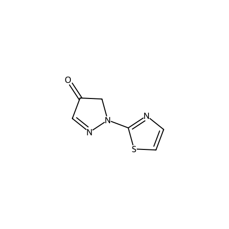 O=C1C=NN(c2nccs2)C1